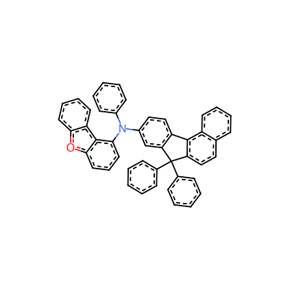 c1ccc(N(c2ccc3c(c2)C(c2ccccc2)(c2ccccc2)c2ccc4ccccc4c2-3)c2cccc3oc4ccccc4c23)cc1